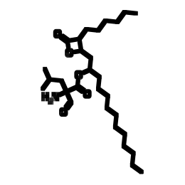 CCCCCCCCCCCC(CC1OC(=O)C1CCCCCC)OC(=O)C(N)(C=O)CC(C)C